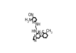 Cc1cccc(-c2cc3nccn3c(NCCNc3ccc(N=O)c(N)n3)n2)c1C